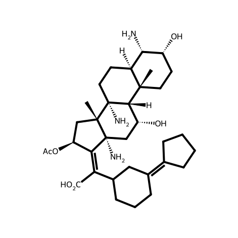 CC(=O)O[C@H]1C[C@@]2(C)[C@@](N)(C[C@@H](O)[C@H]3[C@@]4(C)CC[C@@H](O)[C@@H](N)[C@@H]4CC[C@@]32N)/C1=C(/C(=O)O)C1CCCC(=C2CCCC2)C1